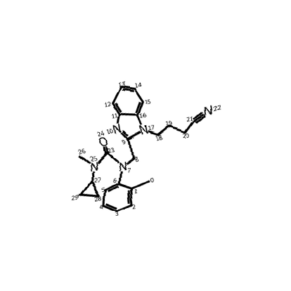 Cc1ccccc1N(Cc1nc2ccccc2n1CCCC#N)C(=O)N(C)C1CC1